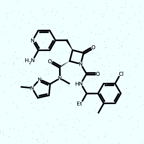 CCC(NC(=O)N1C(=O)[C@H](Cc2ccnc(N)c2)[C@H]1C(=O)N(C)c1ccn(C)n1)c1cc(Cl)ccc1C